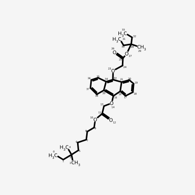 CCC(C)(C)CCCCCOC(=O)COc1c2ccccc2c(OCC(=O)OC(C)(CC)CC)c2ccccc12